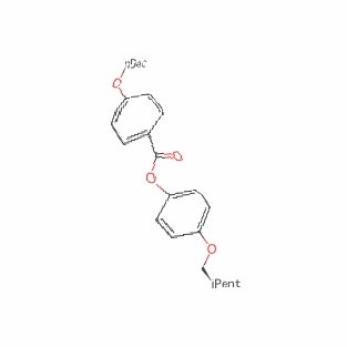 CCCCCCCCCCOc1ccc(C(=O)Oc2ccc(OC[C@H](C)CCC)cc2)cc1